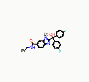 CCn1c(C(O)(c2ccc(F)cc2)c2ccc(F)cc2)nc2ccc(C(=O)NCC(C)C)cc21